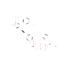 Cn1cc(C#Cc2ccc(NC(=O)[C@@H]3CCCCN3C(=O)[C@H](NC(=O)OC(C)(C)C)c3cccs3)cc2)c(-c2cc(Br)ccc2O)n1